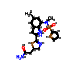 Cc1cc(N(C)S(=O)(=O)c2cccs2)c2[nH]c(C3=NCC(CC(N)=O)S3)cc2c1